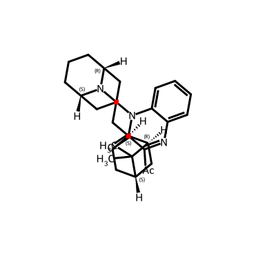 CC(=O)c1nc2ccccc2n(C2C[C@H]3CCC[C@@H](C2)N3CC[C@@H]2CC[C@H]3C[C@H]2C3(C)C)c1=O